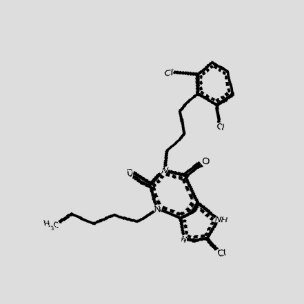 CCCCCn1c(=O)n(CCCc2c(Cl)cccc2Cl)c(=O)c2[nH]c(Cl)nc21